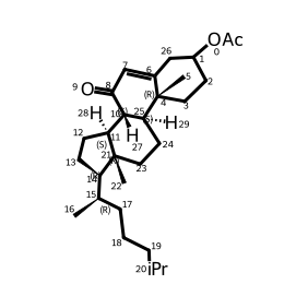 CC(=O)OC1CC[C@@]2(C)C(=CC(=O)[C@H]3[C@@H]4CC[C@H]([C@H](C)CCCC(C)C)[C@@]4(C)CC[C@@H]32)C1